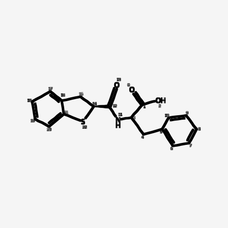 O=C(O)C(Cc1ccccc1)NC(=O)[C@@H]1Cc2ccccc2S1